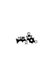 Clc1ccc2c(Nc3cc(C4CC4)[nH]n3)nc(Cl)nc2c1